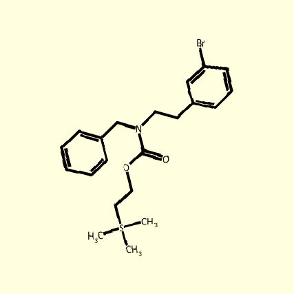 CS(C)(C)CCOC(=O)N(CCc1cccc(Br)c1)Cc1ccccc1